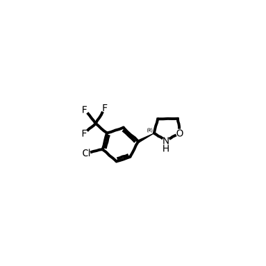 FC(F)(F)c1cc([C@H]2CCON2)ccc1Cl